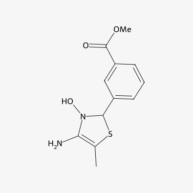 COC(=O)c1cccc(C2SC(C)=C(N)N2O)c1